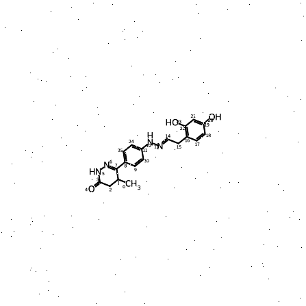 CC1CC(=O)NN=C1c1ccc(NN=CCc2ccc(O)cc2O)cc1